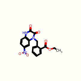 CCOC(=O)c1ccccc1Cn1c(=O)c(=O)[nH]c2ccc([N+](=O)[O-])cc21